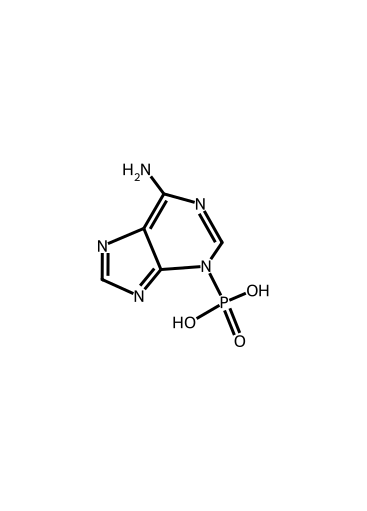 Nc1ncn(P(=O)(O)O)c2ncnc1-2